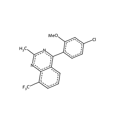 COc1cc(Cl)ccc1-c1nc(C)nc2c(C(F)(F)F)cccc12